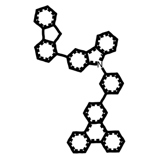 c1cc(-c2ccc3c4ccccc4c4ccccc4c3c2)cc(-n2c3ccccc3c3cc(-c4cccc5c4Cc4ccccc4-5)ccc32)c1